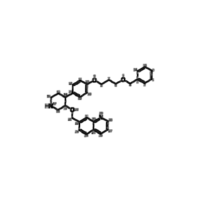 c1ccc(COCCCOc2ccc(C3CCNCC3OCc3ccc4cccnc4c3)cc2)cc1